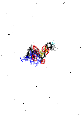 NC(=O)c1cc(S(=O)(=O)c2ccc(F)cc2)sc1NC(=O)c1ccc[nH]c1=O